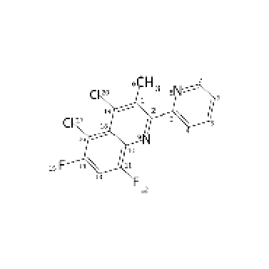 Cc1c(-c2ccccn2)nc2c(F)cc(F)c(Cl)c2c1Cl